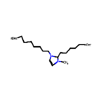 CCCCCCCCCCCCCCCCCN1C=CN(C)C1CCCCCCCCCCCCCCC